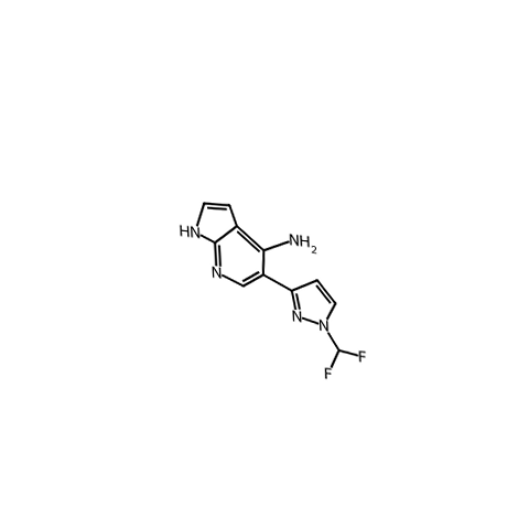 Nc1c(-c2ccn(C(F)F)n2)cnc2[nH]ccc12